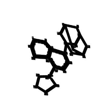 c1ccc2c(C34CC5CC(CC(C5)C3)C4)ccc([S+]3CCCC3)c2c1